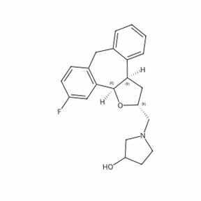 OC1CCN(C[C@H]2C[C@@H]3c4ccccc4Cc4ccc(F)cc4[C@@H]3O2)C1